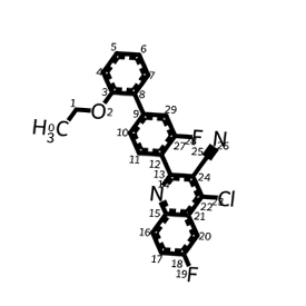 CCOc1ccccc1-c1ccc(-c2nc3ccc(F)cc3c(Cl)c2C#N)c(F)c1